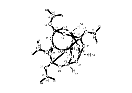 C[SiH](C)O[Si]12O[SiH]3O[Si@H]4O[Si](O[SiH](C)C)(O1)O[Si]1(O[SiH](C)C)O[Si](O[SiH](C)C)(O2)O[Si@@H](O3)O[Si@H](O1)O4